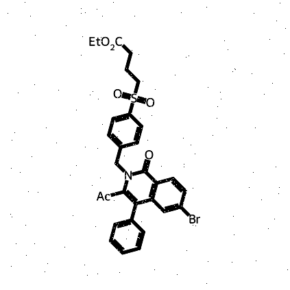 CCOC(=O)CCCS(=O)(=O)c1ccc(Cn2c(C(C)=O)c(-c3ccccc3)c3cc(Br)ccc3c2=O)cc1